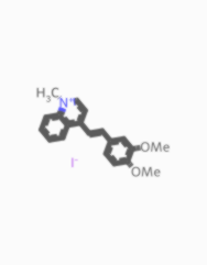 COc1ccc(C=Cc2cc[n+](C)c3ccccc23)cc1OC.[I-]